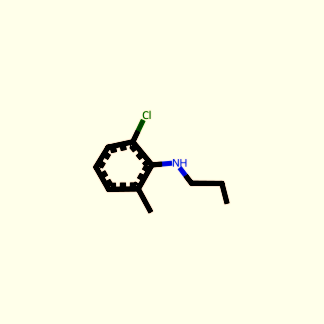 CCCNc1c(C)cccc1Cl